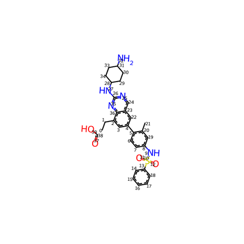 CCc1cc(-c2ccc(NS(=O)(=O)c3ccccc3)cc2C)cc2cnc(NC3CCC(N)CC3)nc12.O=CO